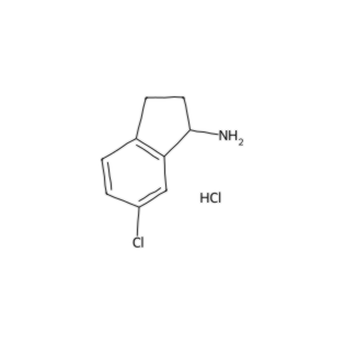 Cl.NC1CCc2ccc(Cl)cc21